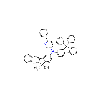 CC1(C)c2ccc(N(c3ccc(-c4ccccc4)nc3)c3ccc4c(c3)C(c3ccccc3)(c3ccccc3)c3ccccc3-4)cc2-c2cc3ccccc3cc21